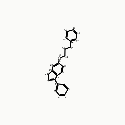 C1=C(c2ccccc2)c2ccc(OCCCc3ccccc3)cc2C1